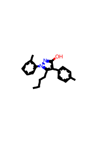 CCCCc1c(-c2ccc(C)cc2)c(O)nn1-c1ccccc1C